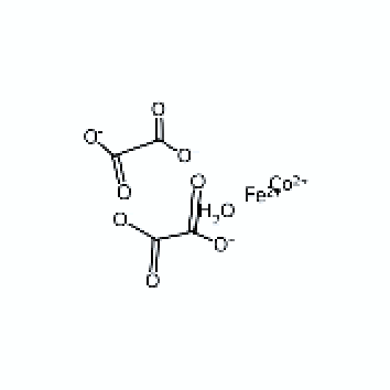 O.O=C([O-])C(=O)[O-].O=C([O-])C(=O)[O-].[Co+2].[Fe+2]